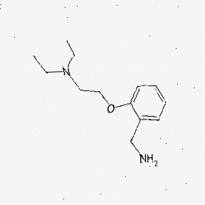 CCN(CC)CCOc1ccccc1CN